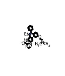 CC/C(=C(\c1ccccc1)c1ccc(OCCN(C)C)cc1)c1ccccc1.NC(=O)c1cnccn1